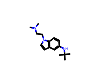 CN(C)CCn1ccc2cc(NC(C)(C)C)ccc21